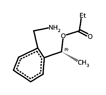 CCC(=O)O[C@H](C)c1ccccc1CN